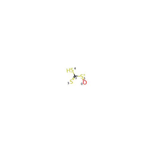 O=[S+]C(=S)S